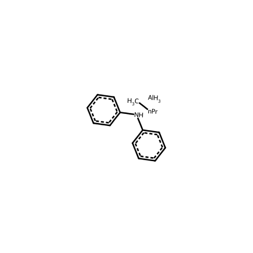 CCCC.[AlH3].c1ccc(Nc2ccccc2)cc1